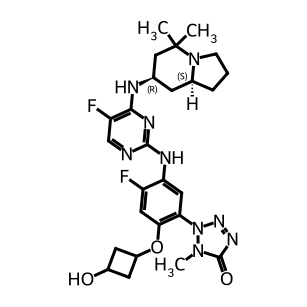 Cn1c(=O)nnn1-c1cc(Nc2ncc(F)c(N[C@@H]3C[C@@H]4CCCN4C(C)(C)C3)n2)c(F)cc1OC1CC(O)C1